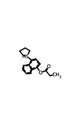 CCC(=O)Oc1ccc([SH]2CCCC2)c2ccccc12